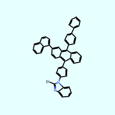 CCc1nc2ccccc2n1-c1ccc(-c2c3ccccc3c(-c3ccc(-c4ccccc4)cc3)c3cc(-c4cccc5ccccc45)ccc23)cc1